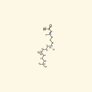 C/C(=C\C(=O)Br)CCC[C@H](C)CCC[C@H](C)CCCC(C)C